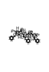 CC[C@H](C)[C@H](NC(=O)C[C@H](O)[C@H](Cc1ccccc1)NC(=O)C(NC(=O)[C@H](CC(C)C)NC(=O)Cc1ccccc1)C(C)C)C(=O)NC(C(=O)OCc1ccccc1)C(C)C